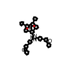 c1ccc(-c2ccc3c(c2)c2cc(-c4ccccc4)ccc2n3-c2c(-c3ccccc3)cc(-c3nc(-c4ccc(-c5ccc6oc7ccccc7c6c5)cc4)nc(-c4ccc(-c5ccc6oc7ccccc7c6c5)cc4)n3)cc2-c2ccccc2)cc1